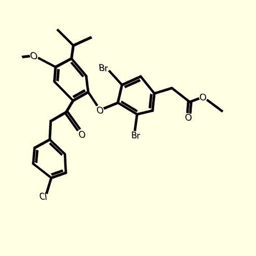 COC(=O)Cc1cc(Br)c(Oc2cc(C(C)C)c(OC)cc2C(=O)Cc2ccc(Cl)cc2)c(Br)c1